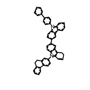 C1=Cc2c(c3cc(-c4ccc5c(c4)c4ccccc4n5-c4ccc(-c5ccccc5)cc4)ccc3n2-c2ccc3c(c2)CCc2ccccc2-3)CC1